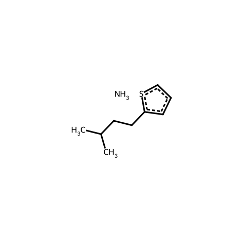 CC(C)CCc1cccs1.N